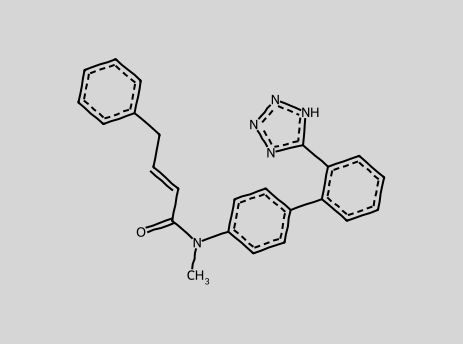 CN(C(=O)C=CCc1ccccc1)c1ccc(-c2ccccc2-c2nnn[nH]2)cc1